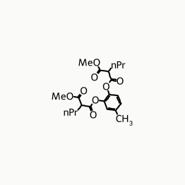 CCCC(C(=O)OC)C(=O)Oc1ccc(C)cc1OC(=O)C(CCC)C(=O)OC